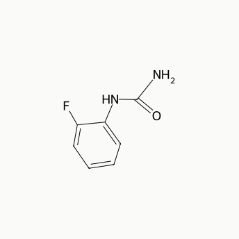 NC(=O)Nc1ccccc1F